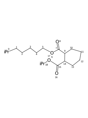 CC(C)CCCCCOC(=O)C1CCCCC1C(=O)OC(C)C